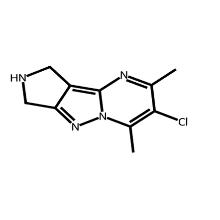 Cc1nc2c3c(nn2c(C)c1Cl)CNC3